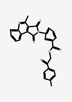 Cc1ccc(C(=O)COC(=O)c2cccc(N3C(=O)c4c(C)nc5ccccc5c4C3=O)c2)cc1